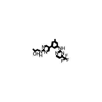 Cc1cc(Nc2nccc(C(F)(F)F)n2)cc(-c2cnc(NCC(C)O)nc2)c1